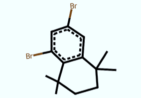 CC1(C)CCC(C)(C)c2c(Br)cc(Br)cc21